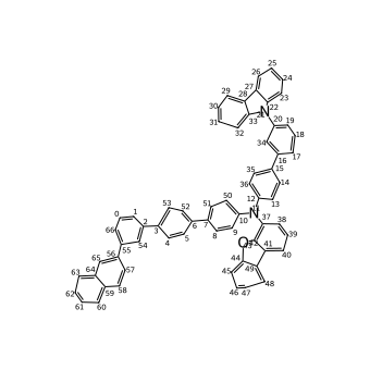 c1cc(-c2ccc(-c3ccc(N(c4ccc(-c5cccc(-n6c7ccccc7c7ccccc76)c5)cc4)c4cccc5c4oc4ccccc45)cc3)cc2)cc(-c2ccc3ccccc3c2)c1